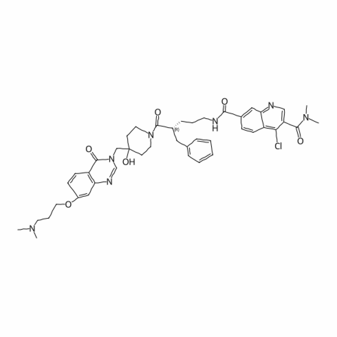 CN(C)CCCOc1ccc2c(=O)n(CC3(O)CCN(C(=O)[C@H](CCCNC(=O)c4ccc5c(Cl)c(C(=O)N(C)C)cnc5c4)Cc4ccccc4)CC3)cnc2c1